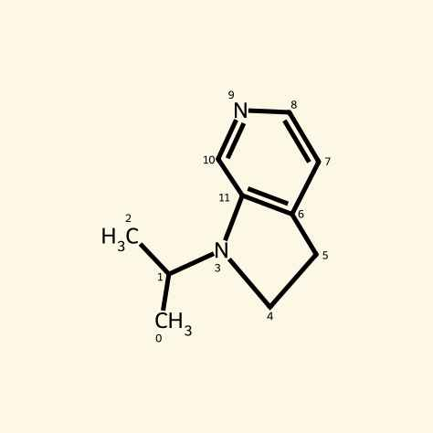 CC(C)N1CCc2ccncc21